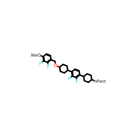 CCCCCC1CCC(c2ccc(C3CCC(OCc4ccc(OC)c(F)c4F)CC3)c(F)c2F)CC1